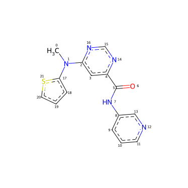 CN(c1cc(C(=O)Nc2cccnc2)ncn1)c1cccs1